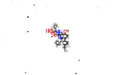 COc1ccc(-c2ccc(C(C)(C)C)cc2)c2c(CC3CCCC3)nc(C(=O)NC(C(=O)O)C3CCCC3)cc12